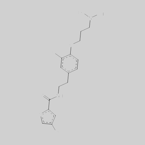 CN(C)CCCOc1ccc(CCNC(=O)c2cc(Br)cs2)cc1Br